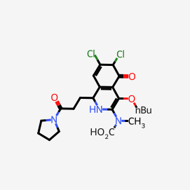 CCCCOC1=C(N(C)C(=O)O)NC(CCC(=O)N2CCCC2)C2=C1C(=O)C(Cl)C(Cl)=C2